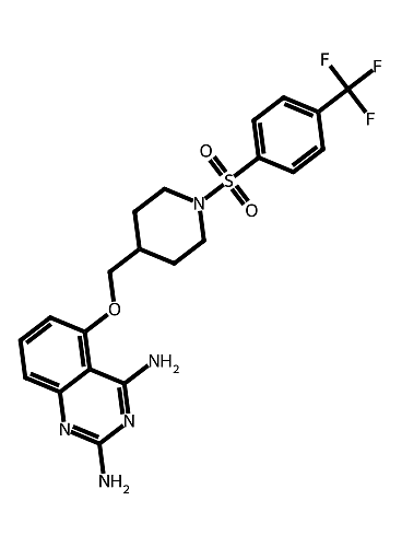 Nc1nc(N)c2c(OCC3CCN(S(=O)(=O)c4ccc(C(F)(F)F)cc4)CC3)cccc2n1